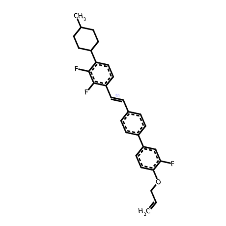 C=CCOc1ccc(-c2ccc(/C=C/c3ccc(C4CCC(C)CC4)c(F)c3F)cc2)cc1F